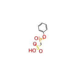 O=S(=O)(O)/C=[P+](\[O-])Oc1ccccc1